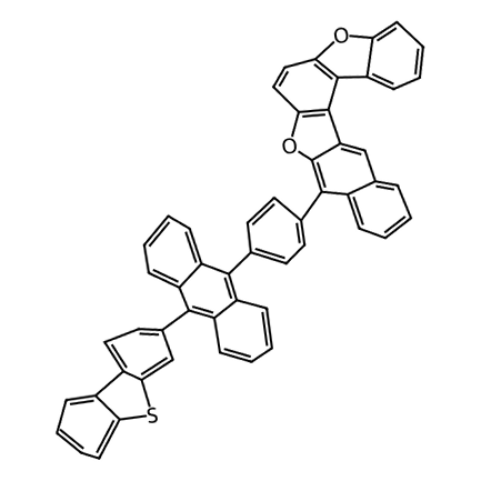 c1ccc2c(-c3ccc(-c4c5ccccc5c(-c5ccc6c(c5)sc5ccccc56)c5ccccc45)cc3)c3oc4ccc5oc6ccccc6c5c4c3cc2c1